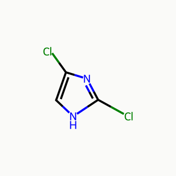 Clc1c[nH]c(Cl)n1